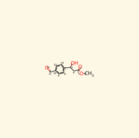 COC(=O)CC(O)c1ccc(C=O)cc1